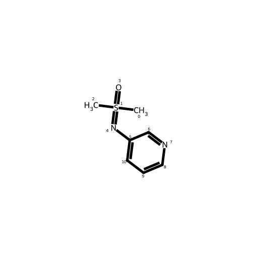 CS(C)(=O)=Nc1[c]nccc1